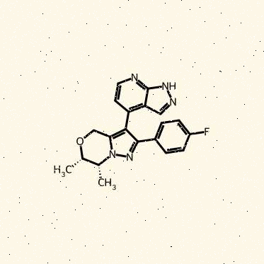 C[C@@H]1OCc2c(-c3ccnc4[nH]ncc34)c(-c3ccc(F)cc3)nn2[C@@H]1C